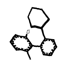 Cc1cccc(Cl)c1-c1ccc[c]c1C1CCCCC1